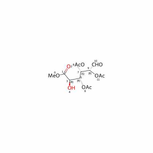 COC(=O)[C@H](O)[C@@H](OC(C)=O)[C@H](OC(C)=O)[C@H](C=O)OC(C)=O